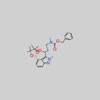 CN(CCC(O)c1c2c(B3OC(C)(C)C(C)(C)O3)cccc2nn1C)C(=O)OCc1ccccc1